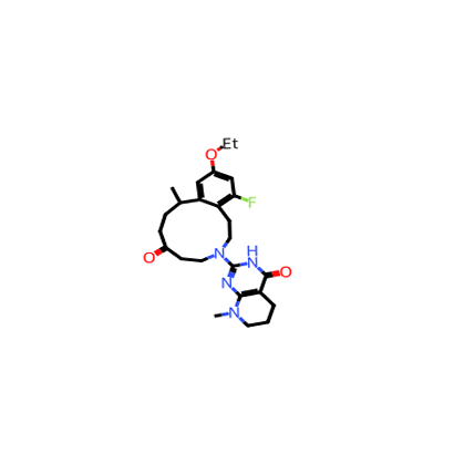 CCOc1cc(F)c2c(c1)C(C)CCC(=O)CCN(c1nc3c(c(=O)[nH]1)CCCN3C)CC2